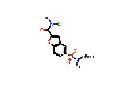 CCCCCN(CC)S(=O)(=O)c1ccc2oc(C(=O)N(CC)CC)cc2c1